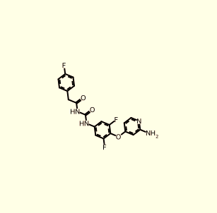 Nc1cc(Oc2c(F)cc(NC(=O)NC(=O)Cc3ccc(F)cc3)cc2F)ccn1